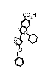 O=C(O)c1ccc2c(c1)nc(-c1cc(OCc3ccccc3)no1)n2C1CCCCC1